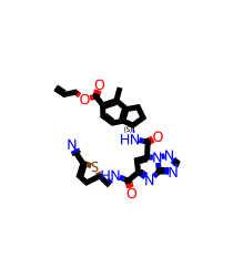 C=CCOC(=O)c1ccc2c(c1C)CC[C@@H]2NC(=O)c1cc(C(=O)NCC2CC=C(C#N)S2)nc2ncnn12